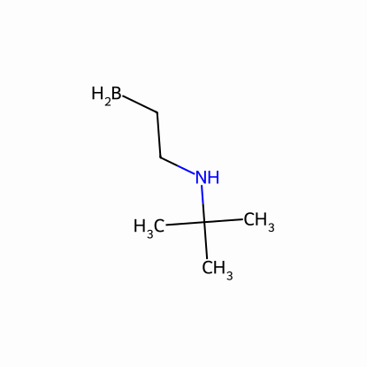 BCCNC(C)(C)C